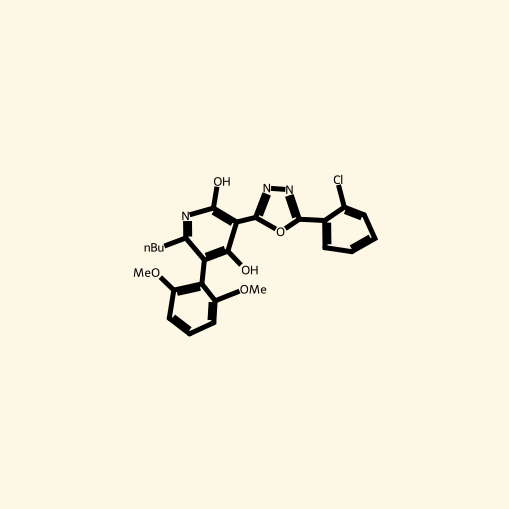 CCCCc1nc(O)c(-c2nnc(-c3ccccc3Cl)o2)c(O)c1-c1c(OC)cccc1OC